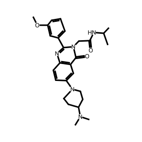 COc1cccc(-c2nc3ccc(N4CCC(N(C)C)CC4)cc3c(=O)n2CC(=O)NC(C)C)c1